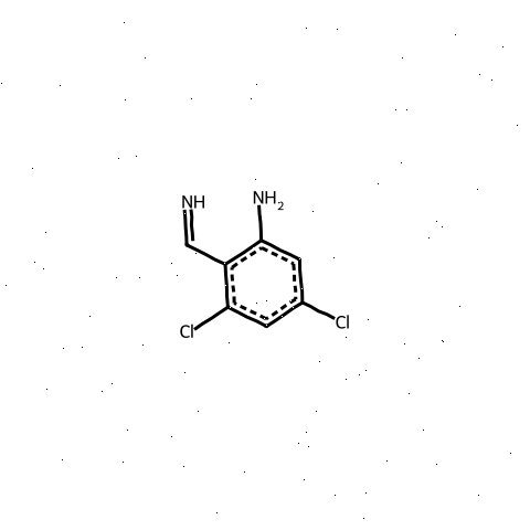 N=Cc1c(N)cc(Cl)cc1Cl